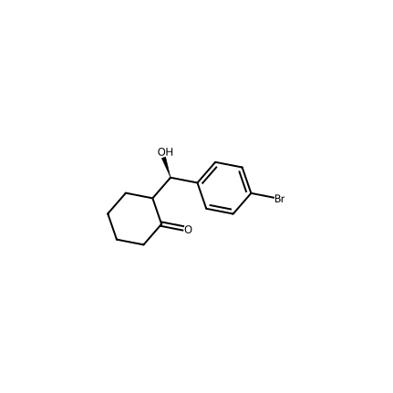 O=C1CCCCC1[C@@H](O)c1ccc(Br)cc1